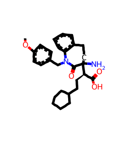 COc1ccc(CN2C(=O)C(N)([C@H](CCC3CCCCC3)C(=O)O)CCc3ccccc32)cc1